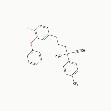 C#CC(C)(CCCc1ccc(F)c(Oc2ccccc2)c1)c1ccc(C(F)(F)F)cc1